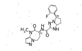 CN1C(=O)[C@@H](NC(=O)C2=NN3C(CC[C@@H]3c3ccccc3F)N2)CCn2nccc21